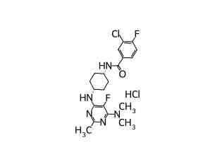 Cc1nc(N[C@H]2CC[C@@H](NC(=O)c3ccc(F)c(Cl)c3)CC2)c(F)c(N(C)C)n1.Cl